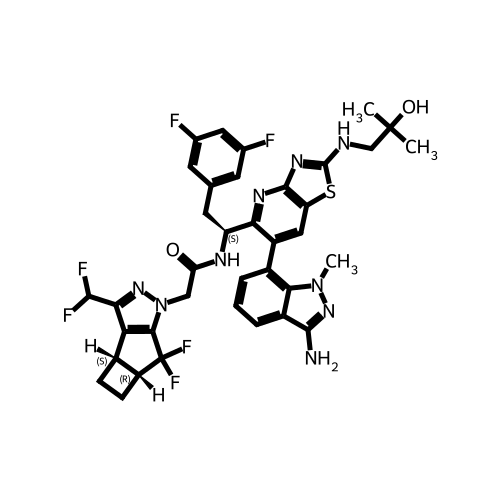 Cn1nc(N)c2cccc(-c3cc4sc(NCC(C)(C)O)nc4nc3[C@H](Cc3cc(F)cc(F)c3)NC(=O)Cn3nc(C(F)F)c4c3C(F)(F)[C@@H]3CC[C@H]43)c21